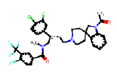 CC(=O)N1CC2(CCN(CC[C@H](CN(C)C(=O)c3ccc(F)c(C(F)(F)F)c3)c3ccc(Cl)c(Cl)c3)CC2)c2ccccc21